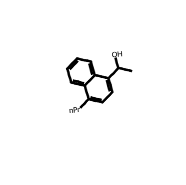 CCCc1ccc(C(C)O)c2ccccc12